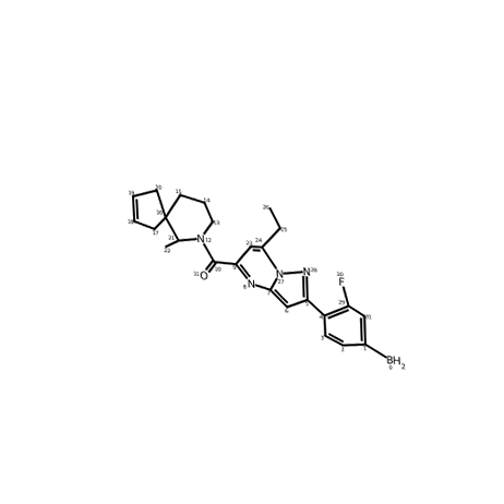 Bc1ccc(-c2cc3nc(C(=O)N4CCCC5(CC=CC5)C4C)cc(CC)n3n2)c(F)c1